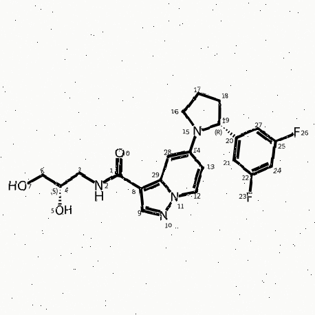 O=C(NC[C@H](O)CO)c1cnn2ccc(N3CCC[C@@H]3c3cc(F)cc(F)c3)cc12